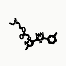 CCN(C)CCOC(=O)Cn1nc(C)cc1-c1nnc(-c2cccc(C)c2)s1